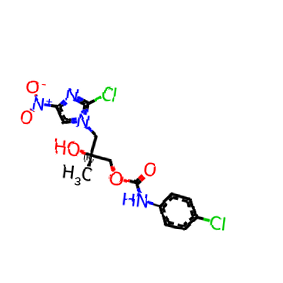 C[C@](O)(COC(=O)Nc1ccc(Cl)cc1)Cn1cc([N+](=O)[O-])nc1Cl